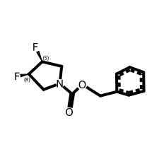 O=C(OCc1ccccc1)N1C[C@@H](F)[C@@H](F)C1